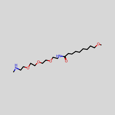 CNCCOCCOCCOCCNC(=O)CCCCCCCCOC